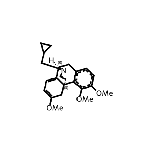 COC1=CC=C2[C@H]3Cc4ccc(OC)c(OC)c4[C@@]2(CCN3CC2CC2)C1